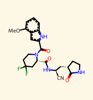 COc1cccc2[nH]c(C(=O)N3CCC(F)(F)C[C@H]3C(=O)N[C@H](C#N)C[C@@H]3CCNC3=O)cc12